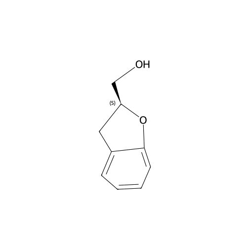 OC[C@@H]1Cc2ccccc2O1